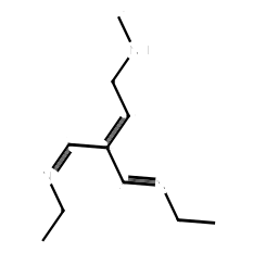 CC\N=C/C(=C\CNC)/C=N/CC